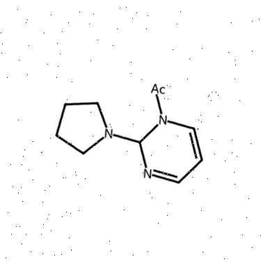 CC(=O)N1[C]=CC=NC1N1CCCC1